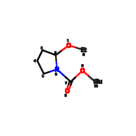 CCOC1CCCN1C(=O)OC(C)(C)C